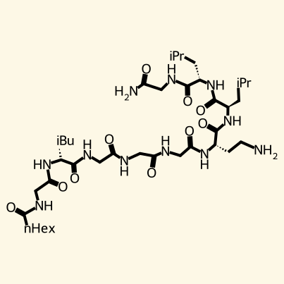 CCCCCCC(=O)NCC(=O)NC(C(=O)NCC(=O)NCC(=O)NCC(=O)N[C@@H](CCN)C(=O)N[C@H](CC(C)C)C(=O)N[C@@H](CC(C)C)C(=O)NCC(N)=O)[C@@H](C)CC